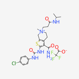 CC(C)NC(=O)CC[N+]1(C)CCc2c(sc(NC(=O)Nc3ccc(Cl)cc3)c2C(N)=O)C1.O=C([O-])C(F)(F)F